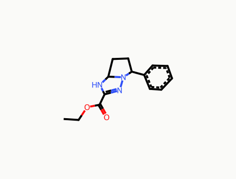 CCOC(=O)C1=NN2C(CCC2c2ccccc2)N1